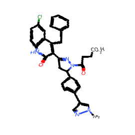 CCCn1cc(-c2ccc(C3CC(c4c(Cc5ccccc5)c5cc(Cl)ccc5[nH]c4=O)=NN3C(=O)CCC(=O)O)cc2)cn1